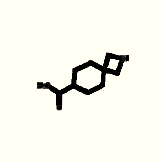 COC(=O)C1CCC2(CC1)CNC2